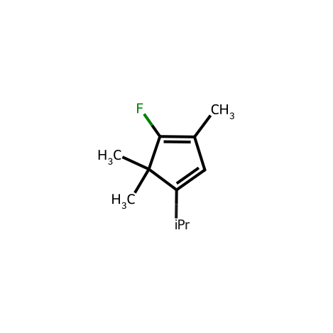 CC1=C(F)C(C)(C)C(C(C)C)=C1